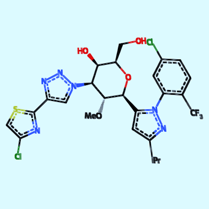 CO[C@@H]1[C@@H](n2cc(-c3nc(Cl)cs3)nn2)[C@@H](O)[C@@H](CO)O[C@H]1c1cc(C(C)C)nn1-c1cc(Cl)ccc1C(F)(F)F